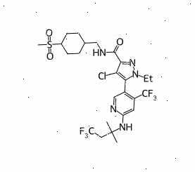 CCn1nc(C(=O)NCC2CCC(S(C)(=O)=O)CC2)c(Cl)c1-c1cnc(NC(C)(C)CC(F)(F)F)cc1C(F)(F)F